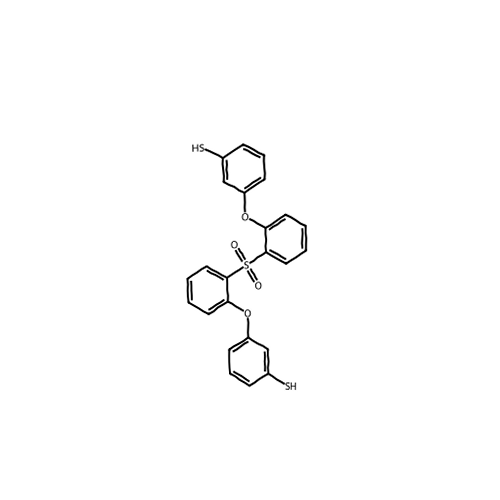 O=S(=O)(c1ccccc1Oc1cccc(S)c1)c1ccccc1Oc1cccc(S)c1